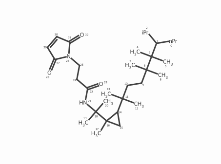 CCCC(C(C)C)C(C)(C)C(C)(C)CCC(C)(C)C1CC1(C)C(C)(C)NC(=O)CCN1C(=O)C=CC1=O